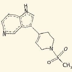 CS(=O)(=O)N1CC=C(c2c[nH]c3ccncc23)CC1